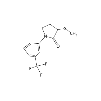 CSC1CCN(c2cccc(C(F)(F)F)c2)C1=O